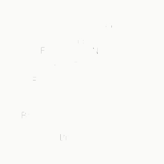 O=[N+]([O-])c1ccccc1C(=C(Br)Br)C(F)(F)F